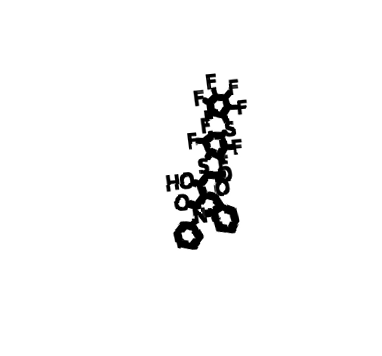 O=c1oc2c(c(O)c1Sc1c(F)c(F)c(Sc3c(F)c(F)c(F)c(F)c3F)c(F)c1F)c(=O)n(-c1ccccc1)c1ccccc21